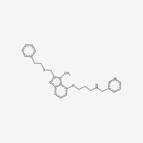 Cc1c(CSCCc2ccccc2)oc2cccc(OCCCNCc3cccnc3)c12